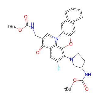 CC(C)(C)OC(=O)NCc1cn2c3c(c(N4CCC(NC(=O)OC(C)(C)C)C4)c(F)cc3c1=O)Oc1cc3ccccc3cc1-2